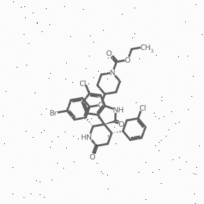 CCOC(=O)N1CCC(Oc2ccc(Br)cc2[C@H]2NC(=O)C[C@@H](C3C=CC=C(Cl)C3)[C@]23C(=O)Nc2cc(Cl)ccc23)CC1